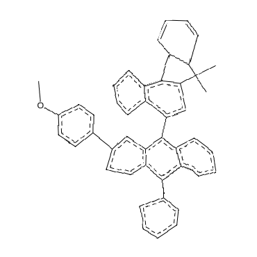 COc1ccc(-c2ccc3c(-c4ccccc4)c4ccccc4c(-c4cc5c(c6ccccc46)C4C=CC=CC4C5(C)C)c3c2)cc1